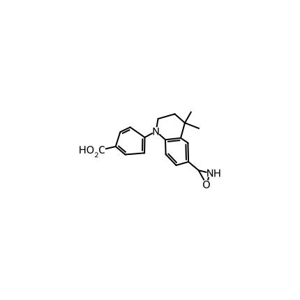 CC1(C)CCN(c2ccc(C(=O)O)cc2)c2ccc(C3NO3)cc21